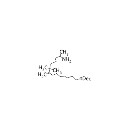 C=C(CCCCCCCCCCCCCCCCC)C(C)(C)CCCC(C)N